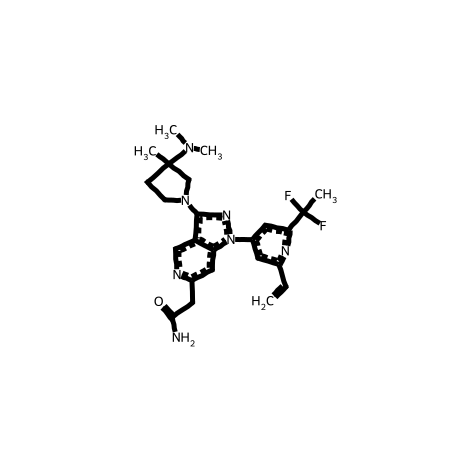 C=Cc1cc(-n2nc(N3CCC(C)(N(C)C)C3)c3cnc(CC(N)=O)cc32)cc(C(C)(F)F)n1